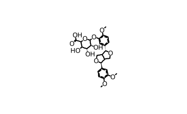 COc1ccc([C@H]2OCC3C2CO[C@H]3c2ccc(OC)c(OC3OC(C(=O)O)C(O)[C@@H](O)[C@@H]3O)c2)cc1OC